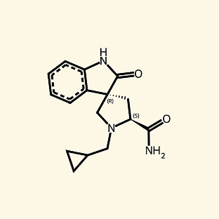 NC(=O)[C@@H]1C[C@@]2(CN1CC1CC1)C(=O)Nc1ccccc12